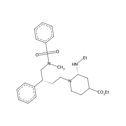 CCN[C@@H]1CC(C(=O)OCC)CCN1CC[C@@H](CN(C)S(=O)(=O)c1ccccc1)c1ccccc1